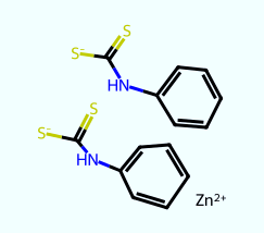 S=C([S-])Nc1ccccc1.S=C([S-])Nc1ccccc1.[Zn+2]